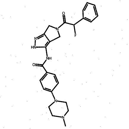 CN1CCN(c2ccc(C(=O)Nc3[nH]nc4c3CN(C(=O)C(F)c3ccccc3)C4)cc2)CC1